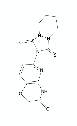 O=C1COc2ccc(-n3c(=O)n4n(c3=S)CCCC4)nc2N1